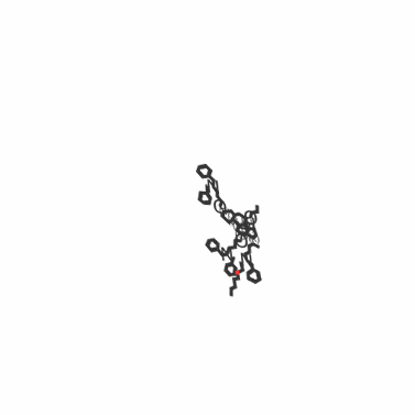 CCCCCCCCN(CCCC(C)[C@H]1CC[C@H]2C3[C@H](OCCC)CC4C[C@H](OCCCN(Cc5ccccc5)Cc5ccccc5)CC[C@]4(C)[C@H]3C[C@H](OCCCN(Cc3ccccc3)Cc3ccccc3)[C@]12C)Cc1ccccc1